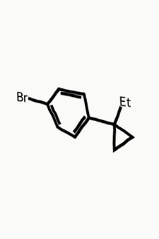 CCC1(c2ccc(Br)cc2)CC1